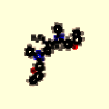 C=C/C=C(\C=C(/C)c1cc(-c2ccc3oc4ccc5ccccc5c4c3c2)nc(-c2ccccc2)n1)c1cccc(-c2nc(-c3ccccc3)nc(-c3ccc4c(c3)oc3c5ccccc5ccc43)n2)c1